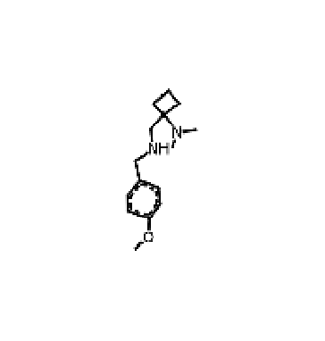 COc1ccc(CNCC2(N(C)C)CCC2)cc1